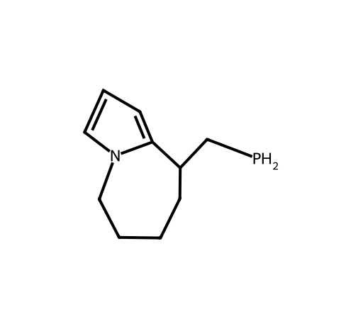 PCC1CCCCn2cccc21